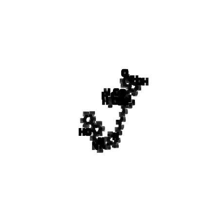 CC(C)(C)[Si](C)(C)O[C@@H](CNCCCCCCCCCN1CCC(Cn2cnc(Cc3cccc(C4CCCCC4)c3O)n2)CC1)c1ccc(O)c2[nH]c(=O)ccc12